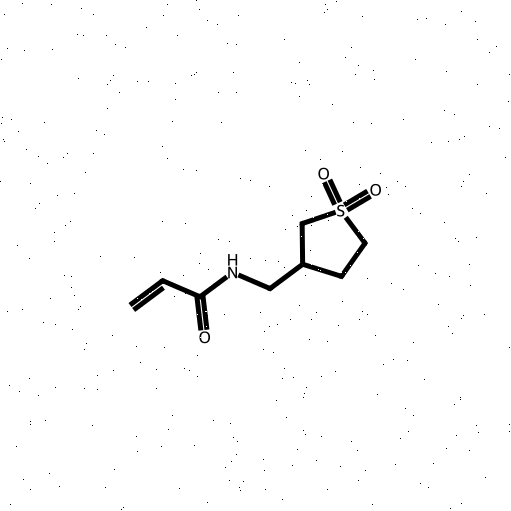 C=CC(=O)NCC1CCS(=O)(=O)C1